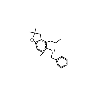 CCCc1c2c(cc(C)c1OCc1ccccc1)OC(C)(C)C2